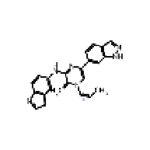 C=C1C(Nc2ccc3c(c2)CC=N3)=NC(c2ccc3cn[nH]c3c2)=CN1/C=C\C